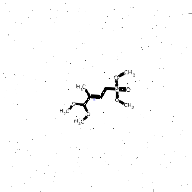 COC(OC)/C(C)=C/CP(=O)(OC)OC